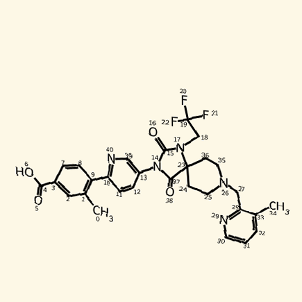 Cc1cc(C(=O)O)ccc1-c1ccc(N2C(=O)N(CC(F)(F)F)C3(CCN(Cc4ncccc4C)CC3)C2=O)cn1